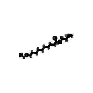 C=CCCCCCCC=CC(=O)OCCC(C)C